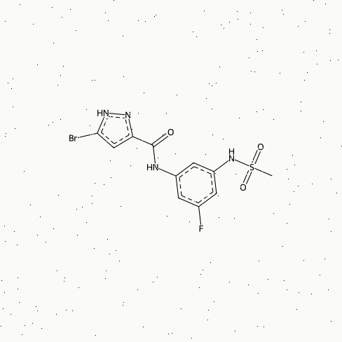 CS(=O)(=O)Nc1cc(F)cc(NC(=O)c2cc(Br)[nH]n2)c1